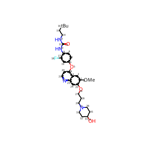 COc1cc2c(Oc3ccc(NC(=O)NCCC(C)(C)C)c(F)c3)ccnc2cc1OCCCN1CCC(O)CC1